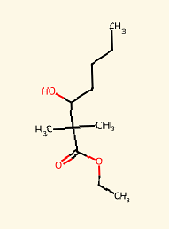 CCCCC(O)C(C)(C)C(=O)OCC